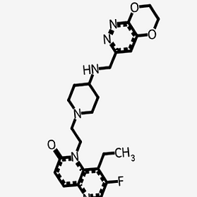 CCc1c(F)cnc2ccc(=O)n(CCN3CCC(NCc4cc5c(nn4)OCCO5)CC3)c12